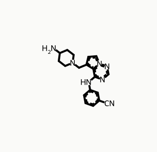 N#Cc1cccc(Nc2ncnn3ccc(CN4CCC(N)CC4)c23)c1